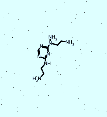 NCCNc1ncnc(N(N)CCN)n1